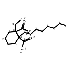 CCCCCCCCC1(C(=O)O)CCCCC1(CC)C(=O)O